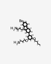 CCCCOc1cc(OCCCN)cc(-c2ccc3c4ccc(Br)cc4n(CCCN)c3c2)c1